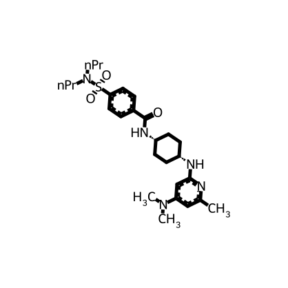 CCCN(CCC)S(=O)(=O)c1ccc(C(=O)N[C@H]2CC[C@@H](Nc3cc(N(C)C)cc(C)n3)CC2)cc1